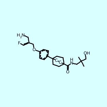 CC(C)(CO)CNC(=O)C12CCC(c3ccc(OCC(=CF)CN)cc3)(CC1)CC2